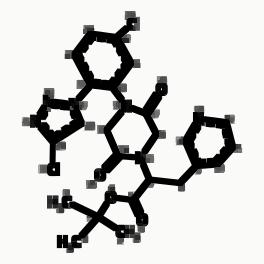 CC(C)(C)OC(=O)C(Cc1cccnc1)N1CC(=O)N(c2cc(Cl)ccc2-n2cc(Cl)nn2)CC1=O